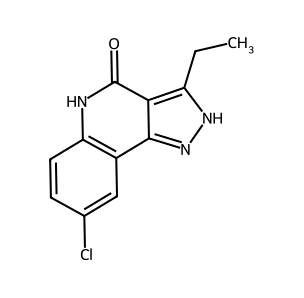 CCc1[nH]nc2c1c(=O)[nH]c1ccc(Cl)cc12